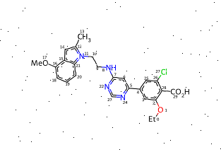 CCOc1cc(-c2cc(NCCn3c(C)cc4c(OC)cccc43)ncn2)cc(Cl)c1C(=O)O